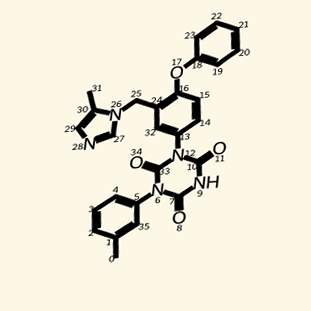 Cc1cccc(-n2c(=O)[nH]c(=O)n(-c3ccc(Oc4ccccc4)c(Cn4cncc4C)c3)c2=O)c1